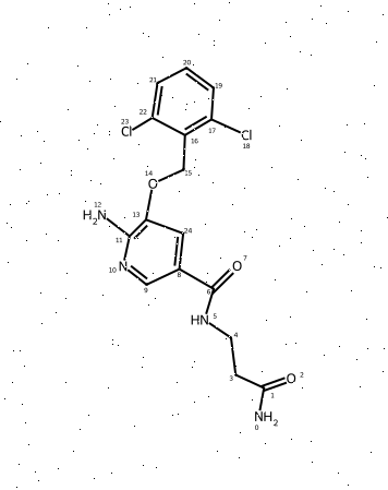 NC(=O)CCNC(=O)c1cnc(N)c(OCc2c(Cl)cccc2Cl)c1